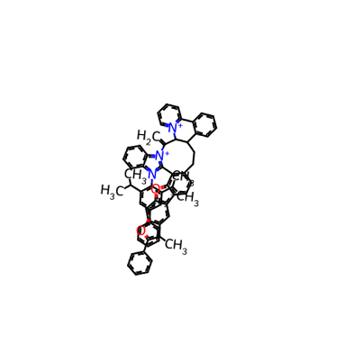 C=C1C2C(CCc3ccc4c(oc5cc6oc(-c7ccccc7)c(C)c6cc54)c3-c3n(-c4c(C(C)C)cc(-c5ccccc5)cc4C(C)C)c4ccccc4[n+]31)c1ccccc1-c1cccc[n+]12